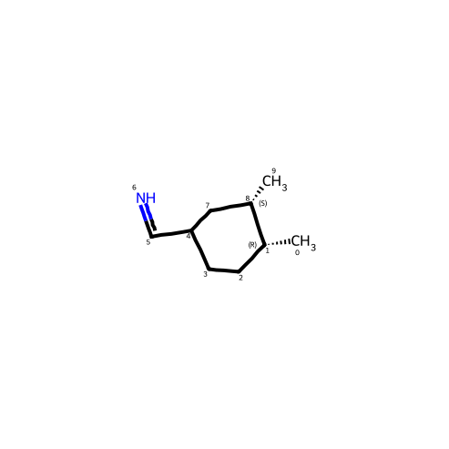 C[C@@H]1CCC(C=N)C[C@@H]1C